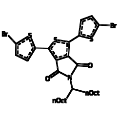 CCCCCCCCC(CCCCCCCC)N1C(=O)c2c(-c3ccc(Br)s3)sc(-c3ccc(Br)s3)c2C1=O